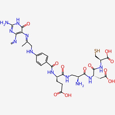 C=Nc1nc(N)[nH]c(=O)c1/N=C(\C)CNc1ccc(C(=O)N[C@H](CCC(=O)O)C(=O)NC[C@H](N)C(=O)N[C@@H](CC(=O)O)C(=O)N[C@@H](CS)C(=O)O)cc1